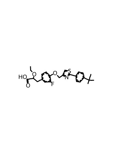 CCOC(Cc1ccc(OCc2csc(-c3ccc(C(C)(C)C)cc3)n2)c(F)c1)C(=O)O